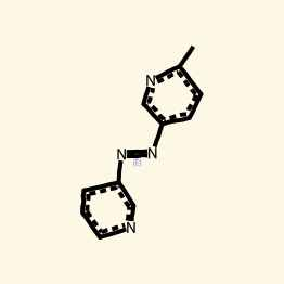 Cc1ccc(/N=N/c2cccnc2)cn1